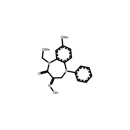 COCN1C(=O)C(=NO)CN(c2ccccc2)c2ccc(OC)cc21